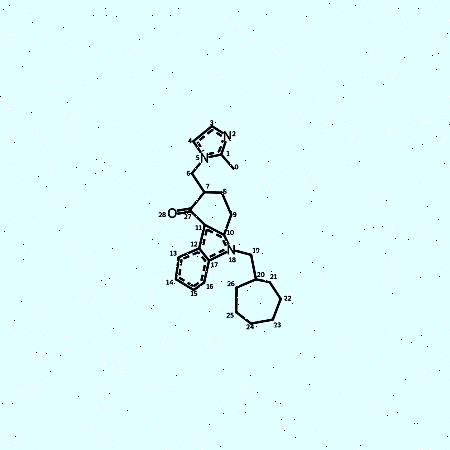 Cc1nccn1CC1CCc2c(c3ccccc3n2CC2CCCCCC2)C1=O